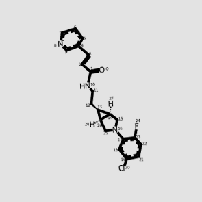 O=C(/C=C/c1cccnc1)NCC[C@H]1[C@H]2CN(c3cc(Cl)ccc3F)C[C@@H]12